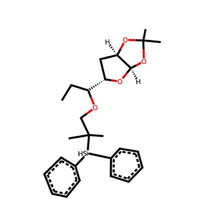 CCC(OCC(C)(C)[SiH](c1ccccc1)c1ccccc1)[C@@H]1C[C@H]2OC(C)(C)O[C@H]2O1